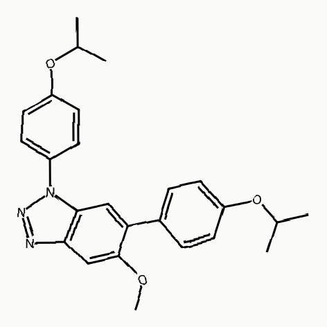 COc1cc2nnn(-c3ccc(OC(C)C)cc3)c2cc1-c1ccc(OC(C)C)cc1